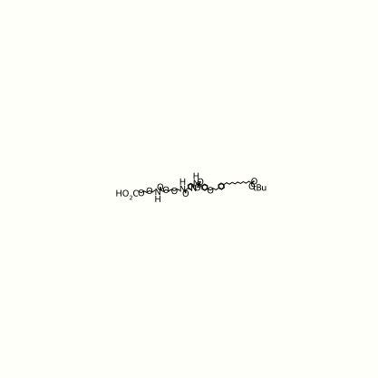 CC(C)(C)OC(=O)CCCCCCCCCc1ccc(CCOc2ccc(S(=O)(=O)Nc3ccc(C(=O)NCCOCCOCC(=O)NCCOCCOCC(=O)O)cn3)cc2)cc1